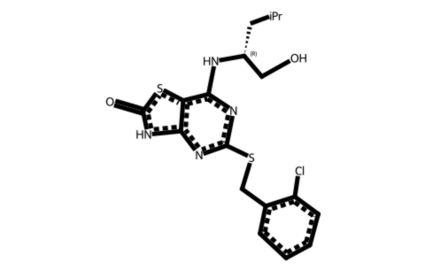 CC(C)C[C@H](CO)Nc1nc(SCc2ccccc2Cl)nc2[nH]c(=O)sc12